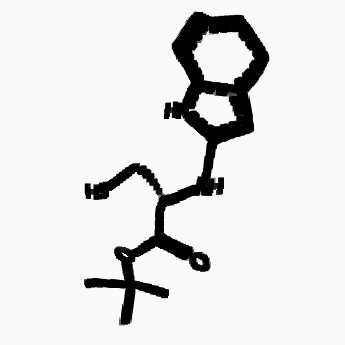 CC(C)(C)OC(=O)[C@H](CS)Nc1cc2ccccc2[nH]1